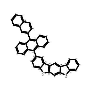 c1ccc2cc(-c3c4ccccc4c(-c4ccc5oc6cc7oc8ccccc8c7cc6c5c4)c4ccccc34)ccc2c1